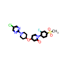 CS(=O)(=O)c1ccc(-n2ccc(OC3CCN(c4ncc(Cl)cn4)CC3)cc2=O)c(F)c1